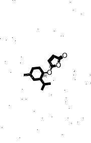 CC1CC[C@@H](O[C@H]2C=CC(=O)O2)C(C(C)C)C1